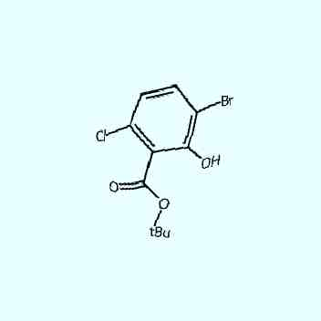 CC(C)(C)OC(=O)c1c(Cl)ccc(Br)c1O